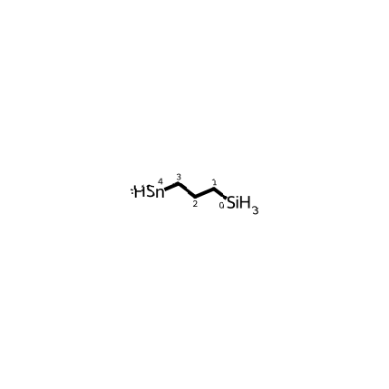 [SiH3]CC[CH2][SnH]